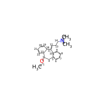 CCOC1Cc2ccccc2C(=CCCN(C)C)C2C=CC=CC12